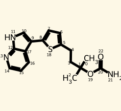 CC(C)(CCc1ccc(-c2c[nH]c3ncccc23)s1)OC(N)=O